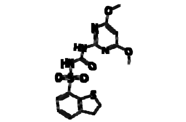 COc1cc(OC)nc(NC(=O)NS(=O)(=O)c2cccc3c2SCC3)n1